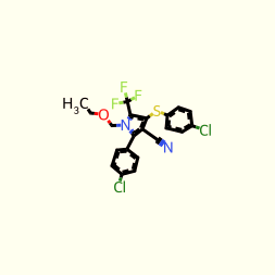 CCOCn1c(-c2ccc(Cl)cc2)c(C#N)c(Sc2ccc(Cl)cc2)c1C(F)(F)F